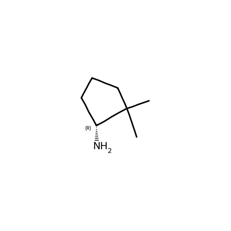 CC1(C)CCC[C@H]1N